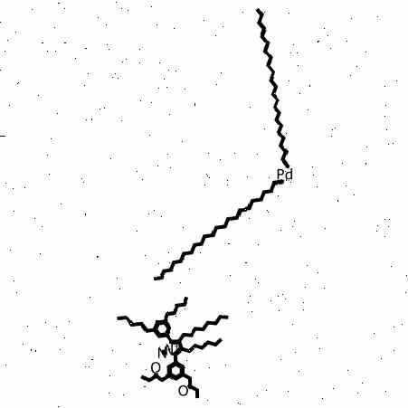 CCCCCCCCC1=C(c2cc(CCCCC)cc(CCCCC)c2)[N+](=[N-])C(c2cc(CC(=O)CC)cc(CC(=O)CC)c2)=C1CCCCCC.CCCCCCCCCCCCCCCCCCCCCCC[CH2][Pd][CH2]CCCCCCCCCCCCCCCCCCCCCCC